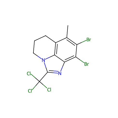 Cc1c(Br)c(Br)c2nc(C(Cl)(Cl)Cl)n3c2c1CCC3